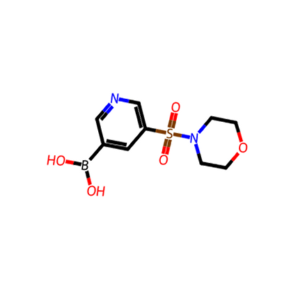 O=S(=O)(c1cncc(B(O)O)c1)N1CCOCC1